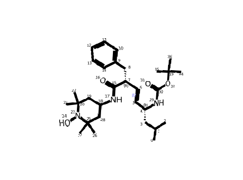 CC(C)C[C@H](/C=C/[C@@H](Cc1ccccc1)C(=O)NC1CC(C)(C)N(O)C(C)(C)C1)NC(=O)OC(C)(C)C